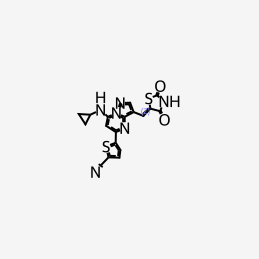 N#Cc1ccc(-c2cc(NC3CC3)n3ncc(/C=C4\SC(=O)NC4=O)c3n2)s1